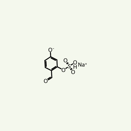 O=Cc1ccc([O-])cc1OS(=O)(=O)O.[Na+]